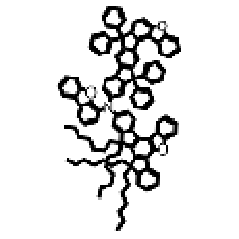 CCCCCCCC1(CCCCCCC)c2ccccc2-c2c1c1c(c3c2oc2ccccc23)-c2ccc(N(c3ccc4c(c3)C(c3ccccc3)(c3ccccc3)c3cc5c(cc3-4)C(c3ccccc3)(c3ccccc3)c3ccc4oc6ccccc6c4c3-5)c3cccc4c3oc3ccccc34)cc2C1(CCCCCCC)CCCCCCC